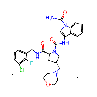 NC(=O)n1cc(NC(=O)N2C[C@H](CN3CCOCC3)C[C@H]2C(=O)NCc2cccc(Cl)c2F)c2ccccc21